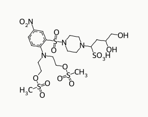 CS(=O)(=O)OCCN(CCOS(C)(=O)=O)c1ccc([N+](=O)[O-])cc1S(=O)(=O)N1CCN(C(CC(O)CO)S(=O)(=O)O)CC1